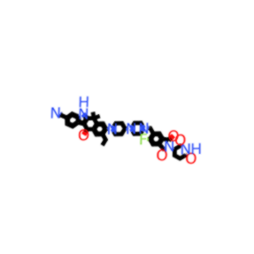 CCc1cc2c(cc1N1CCC(N3CCN(Cc4cc5c(cc4F)C(=O)N(C4CCC(=O)NC4=O)C5=O)CC3)CC1)C(C)(C)c1[nH]c3cc(C#N)ccc3c1C2=O